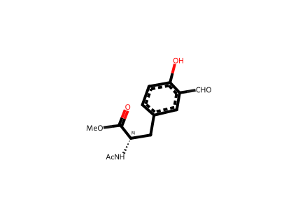 COC(=O)[C@H](Cc1ccc(O)c(C=O)c1)NC(C)=O